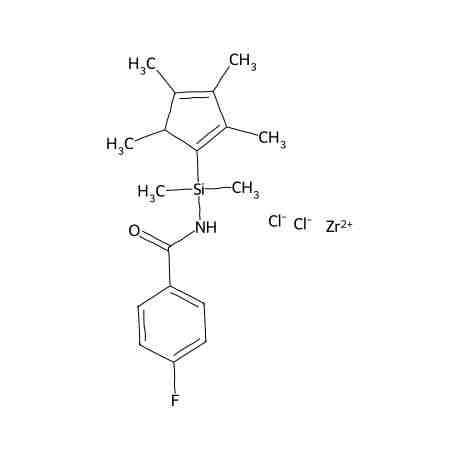 CC1=C(C)C(C)C([Si](C)(C)NC(=O)c2ccc(F)cc2)=C1C.[Cl-].[Cl-].[Zr+2]